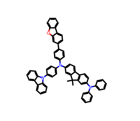 CC1(C)c2cc(N(c3ccccc3)c3ccccc3)ccc2-c2ccc(N(c3ccc(-c4ccc5c(c4)oc4ccccc45)cc3)c3ccc(-n4c5ccccc5c5ccccc54)cc3)cc21